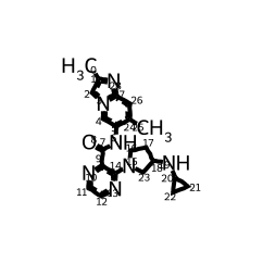 Cc1cn2cc(NC(=O)c3nccnc3N3CCC(NC4CC4)C3)c(C)cc2n1